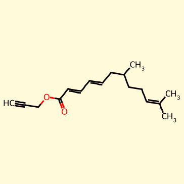 C#CCOC(=O)C=CC=CCC(C)CCC=C(C)C